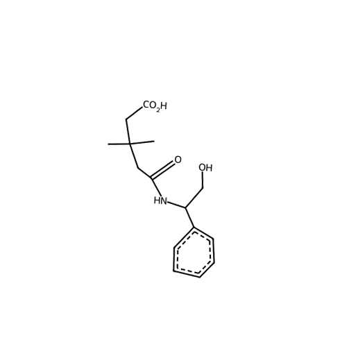 CC(C)(CC(=O)O)CC(=O)NC(CO)c1ccccc1